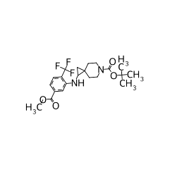 COC(=O)c1ccc(C(F)(F)F)c(NC2CC23CCN(C(=O)OC(C)(C)C)CC3)c1